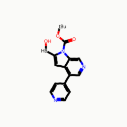 CC(C)(C)OC(=O)n1c(BO)cc2c(-c3ccncc3)cncc21